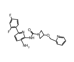 Nc1ccc(-c2ccc(F)cc2F)nc1NC(=O)N1CC(OCc2ccccn2)C1